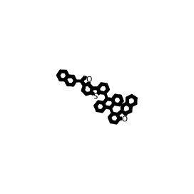 c1ccc2cc(-c3coc4c3ccc3sc5c(-c6c7ccccc7c(-c7cccc8oc9cc%10ccccc%10cc9c78)c7ccccc67)cccc5c34)ccc2c1